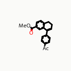 COC(=O)c1ccc2c(c1)C(c1ccc(C(C)=O)cc1)=CCC2